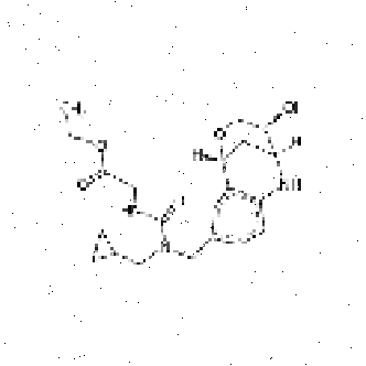 CCOC(=O)CNC(=O)N(Cc1ccc2c(c1)[C@H]1C[C@H](N2)[C@H](O)CO1)CC1CC1